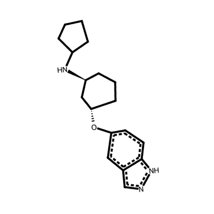 c1cc2[nH]ncc2cc1O[C@H]1CCC[C@H](NC2CCCC2)C1